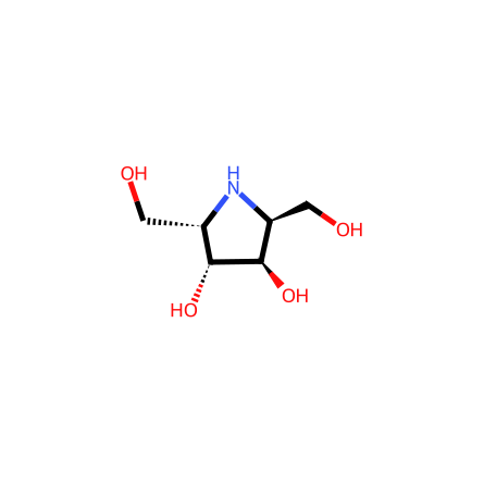 OC[C@@H]1N[C@@H](CO)[C@@H](O)[C@@H]1O